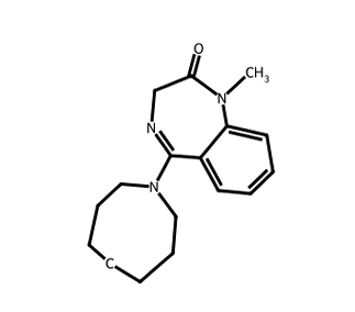 CN1C(=O)CN=C(N2CCCCCCC2)c2ccccc21